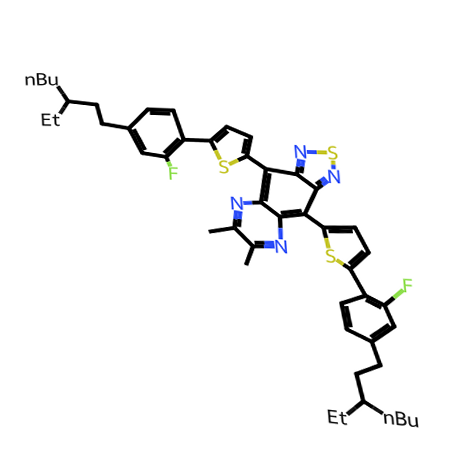 CCCCC(CC)CCc1ccc(-c2ccc(-c3c4nsnc4c(-c4ccc(-c5ccc(CCC(CC)CCCC)cc5F)s4)c4nc(C)c(C)nc34)s2)c(F)c1